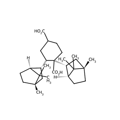 CC1(C)[C@H]2CC[C@@]1(C)C[C@H]2C1(C(=O)O)CCC(C(=O)O)CC1[C@@H]1C[C@]2(C)CC[C@@H]1C2(C)C